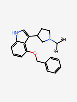 [2H]C([2H])N1CCC(c2c[nH]c3cccc(OCc4ccccc4)c23)C1